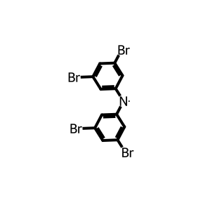 Brc1cc(Br)cc([N]c2cc(Br)cc(Br)c2)c1